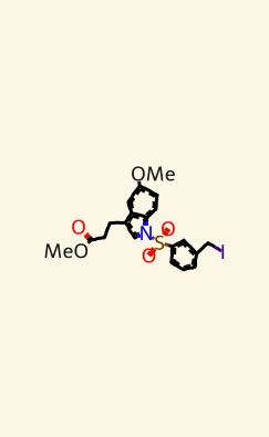 COC(=O)CCc1cn(S(=O)(=O)c2cccc(CI)c2)c2ccc(OC)cc12